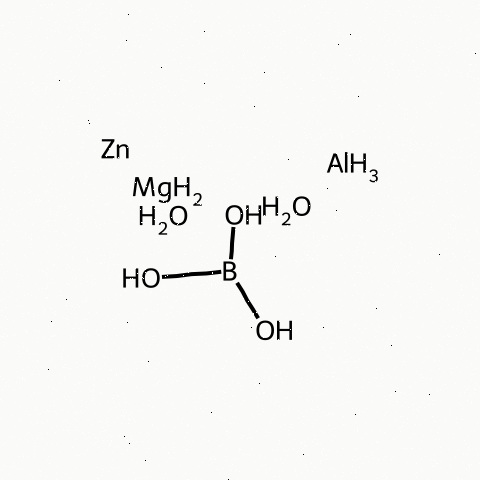 O.O.OB(O)O.[AlH3].[MgH2].[Zn]